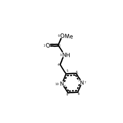 COC(=O)NCc1[c]nccn1